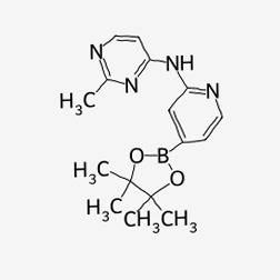 Cc1nccc(Nc2cc(B3OC(C)(C)C(C)(C)O3)ccn2)n1